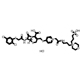 Cl.O=C(C[n+]1ccc(SCC2=C(C(=O)O)N3C(=O)[C@H](NC(=O)CSc4cc(Cl)ccc4Cl)[C@H]3SC2)cc1)NCCC[N+]1(CCCS(=O)(=O)O)CCOCC1